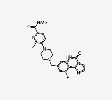 CNC(=O)c1ccc(N2CCN(Cc3cc(F)c4c(c3)[nH]c(=O)n3ccnc43)CC2)c(C)n1